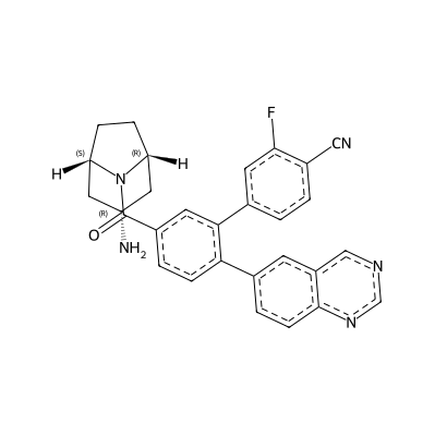 N#Cc1ccc(-c2cc(C(=O)N3[C@@H]4CC[C@H]3C[C@@H](N)C4)ccc2-c2ccc3ncncc3c2)cc1F